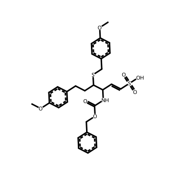 COc1ccc(CCC(SCc2ccc(OC)cc2)C(/C=C/S(=O)(=O)O)NC(=O)OCc2ccccc2)cc1